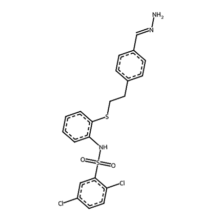 NN=Cc1ccc(CCSc2ccccc2NS(=O)(=O)c2cc(Cl)ccc2Cl)cc1